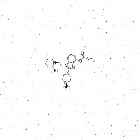 CCCN1CCN(c2nc3c(OC(N)=O)cccc3n2CCN2CCCCC2CC)CC1